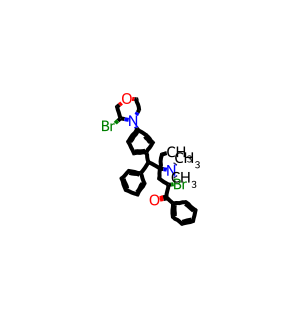 CCC(CC(Br)C(=O)c1ccccc1)(C(c1ccccc1)c1ccc(N2CCOCC2Br)cc1)N(C)C